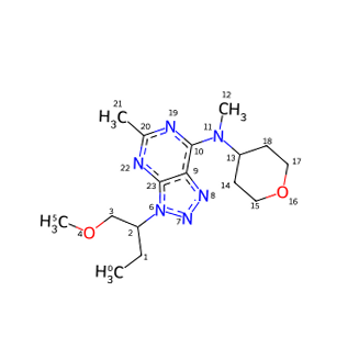 CCC(COC)n1nnc2c(N(C)C3CCOCC3)nc(C)nc21